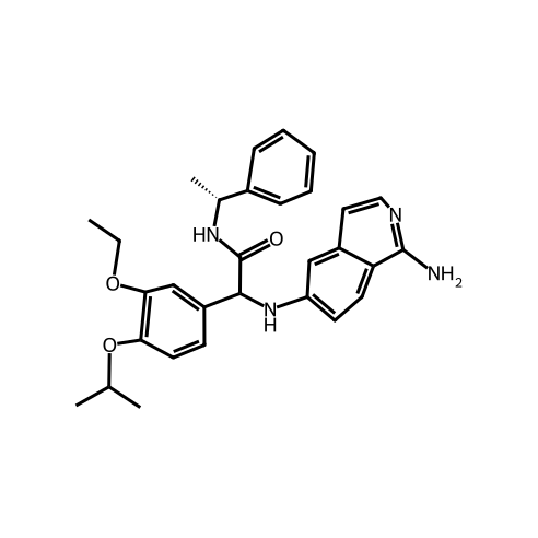 CCOc1cc(C(Nc2ccc3c(N)nccc3c2)C(=O)N[C@H](C)c2ccccc2)ccc1OC(C)C